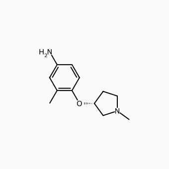 Cc1cc(N)ccc1O[C@@H]1CCN(C)C1